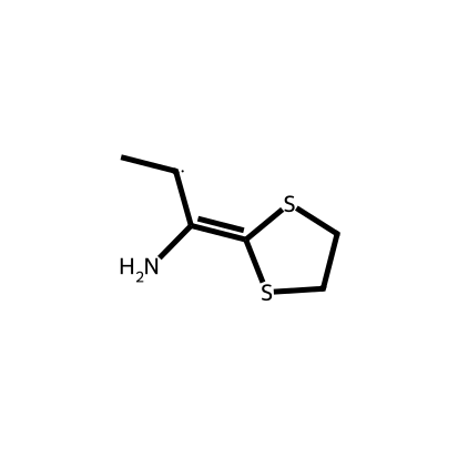 C[CH]C(N)=C1SCCS1